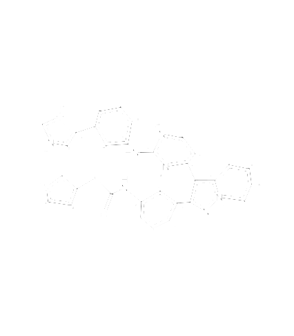 O=C(Cc1ccsc1)Nc1cccc(-c2nn3ccccc3c2-c2ccnc(Nc3cccc(-c4cnco4)c3)n2)c1